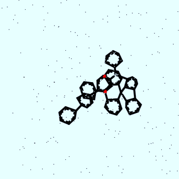 c1ccc(-c2ccc(-c3ccc(N(c4ccccc4)c4cccc5c4C4(c6ccccc6-5)c5ccccc5N(c5ccccc5)c5ccccc54)cc3)cc2)cc1